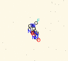 CC(C)(C)[Si](C)(C)N=S(=O)(c1ncc2n1CCOC2)N1CCC2=Cc3c(cnn3-c3ccc(F)cc3)C[C@]2(C(=O)c2cc(C(F)(F)F)ccn2)C1